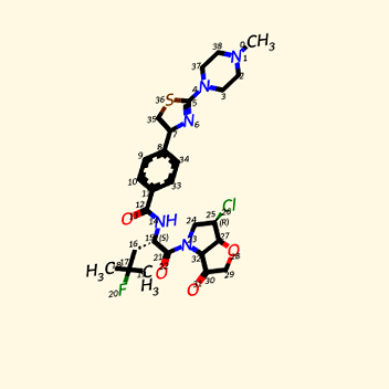 CN1CCN(C2=NC(c3ccc(C(=O)N[C@@H](CC(C)(C)F)C(=O)N4C[C@@H](Cl)C5OCC(=O)C54)cc3)CS2)CC1